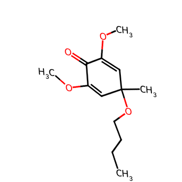 CCCCOC1(C)C=C(OC)C(=O)C(OC)=C1